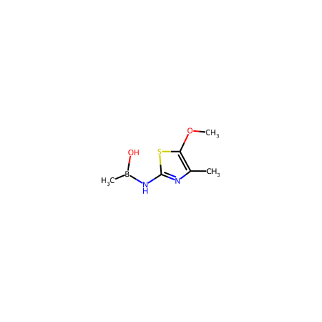 COc1sc(NB(C)O)nc1C